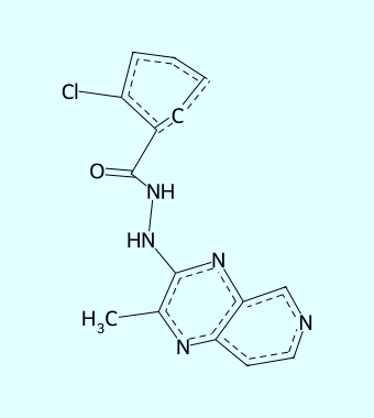 Cc1nc2ccncc2nc1NNC(=O)c1ccccc1Cl